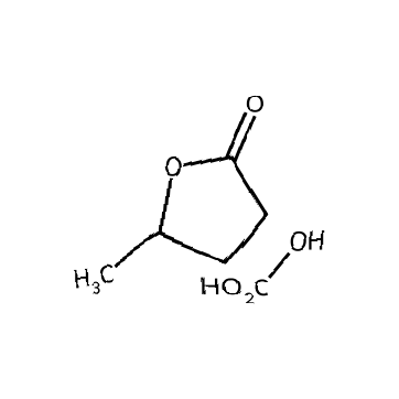 CC1CCC(=O)O1.O=C(O)O